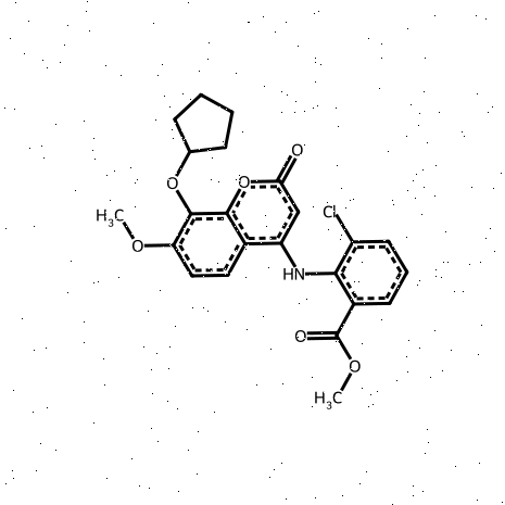 COC(=O)c1cccc(Cl)c1Nc1cc(=O)oc2c(OC3CCCC3)c(OC)ccc12